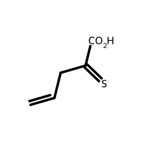 C=CCC(=S)C(=O)O